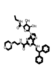 CCNC(=O)[C@H]1O[C@@H](n2cnc3c(NCC(c4ccccc4)c4ccccc4)nc(C(=O)NCCN4CCOCC4)nc32)[C@H](O)[C@@H]1O